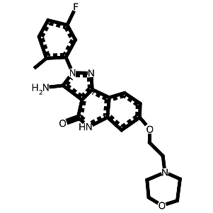 Cc1ccc(F)cc1-n1nc2c(c1N)c(=O)[nH]c1cc(OCCN3CCOCC3)ccc12